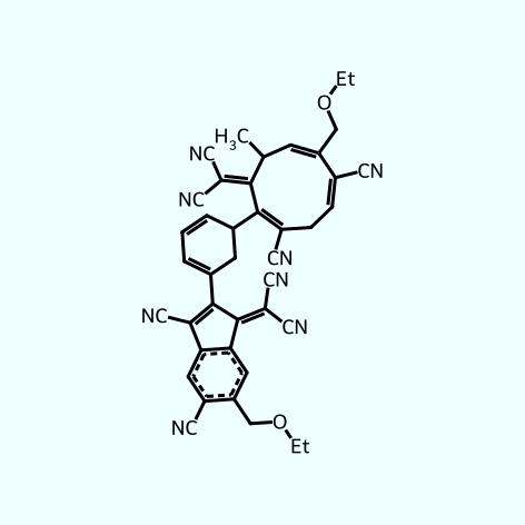 CCOCC1=C/C(C)C(=C(C#N)C#N)/C(C2C=CC=C(C3=C(C#N)c4cc(C#N)c(COCC)cc4C3=C(C#N)C#N)C2)=C(/C#N)C/C=C\1C#N